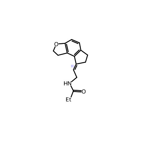 CCC(=O)NC/C=C1\CCc2ccc3c(c21)CCO3